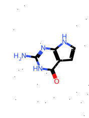 Nc1nc2[nH]ccc2c(=O)[nH]1